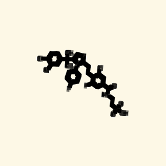 CC(C)(c1ccc(Cl)c(Cl)c1)c1cnc(CCc2c(F)cc(C(=O)NCCS(=O)(=O)O)cc2Cl)n1-c1ccc(F)cc1